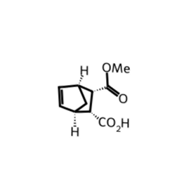 COC(=O)[C@@H]1[C@H](C(=O)O)[C@H]2C=C[C@@H]1C2